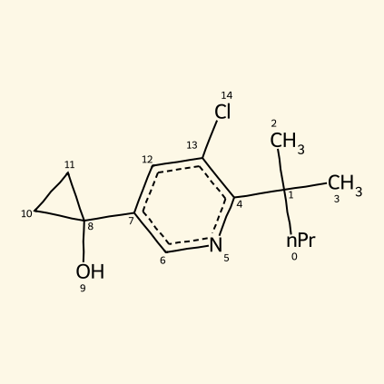 CCCC(C)(C)c1ncc(C2(O)CC2)cc1Cl